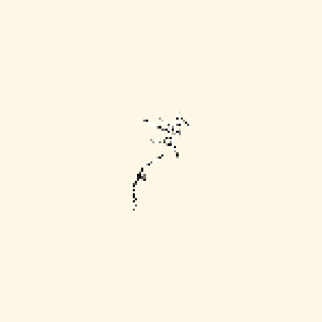 CCCCCCCC#[C][Pd][C]#CCCCCCCC.CCCCCCCC1=C(c2cc(CCCC)cc(CCCC)c2)[N+](=[N-])C(c2cc(CC)cc(CC)c2)=C1CCCC